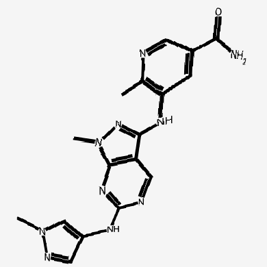 Cc1ncc(C(N)=O)cc1Nc1nn(C)c2nc(Nc3cnn(C)c3)ncc12